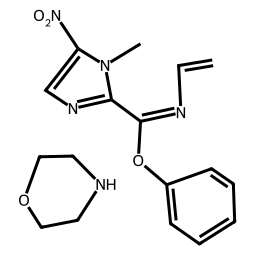 C1COCCN1.C=CN=C(Oc1ccccc1)c1ncc([N+](=O)[O-])n1C